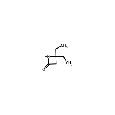 CCC1(CC)CC(=O)N1